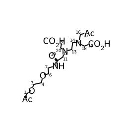 CC(=O)COCCOCCNC(=O)CN(CCN(CC(C)=O)CC(=O)O)CC(=O)O